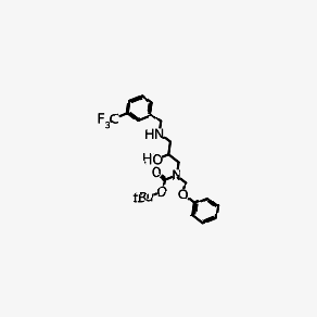 CC(C)(C)OC(=O)N(COc1ccccc1)CC(O)CNCc1cccc(C(F)(F)F)c1